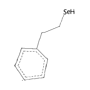 [SeH]CCc1cc[c]cc1